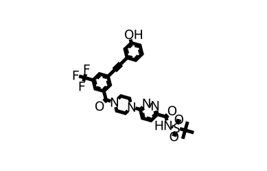 CC(C)(C)S(=O)(=O)NC(=O)c1ccc(N2CCN(C(=O)c3cc(C#Cc4cccc(O)c4)cc(C(F)(F)F)c3)CC2)nn1